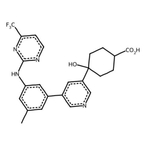 Cc1cc(Nc2nccc(C(F)(F)F)n2)cc(-c2cncc(C3(O)CCC(C(=O)O)CC3)c2)c1